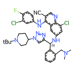 CN(C)Cc1ccccc1[C@H](Nc1cc(Cl)c2ncc(C#N)c(Nc3ccc(F)c(Cl)c3)c2c1)c1cn(C2CCN(C(C)(C)C)CC2)nn1